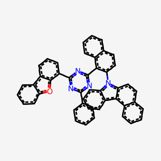 c1ccc(-c2nc(-c3c(-n4c5ccccc5c5c6ccccc6ccc54)ccc4ccccc34)nc(-c3cccc4c3oc3ccccc34)n2)cc1